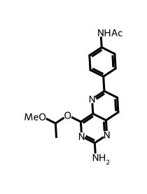 COC(C)Oc1nc(N)nc2ccc(-c3ccc(NC(C)=O)cc3)nc12